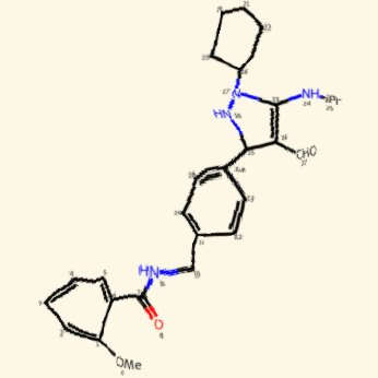 COc1ccccc1C(=O)NCc1ccc(C2NN(C3CCCC3)C(NC(C)C)=C2C=O)cc1